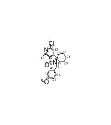 COc1ccc(CN2C(=O)c3c(cc(Cl)nc3C)C23CCCCC3)cc1